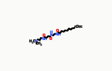 CCCCCCCCCCCCCCCCCCCC(=O)NCCNC(=O)CCC(=O)NCCCN(C)C